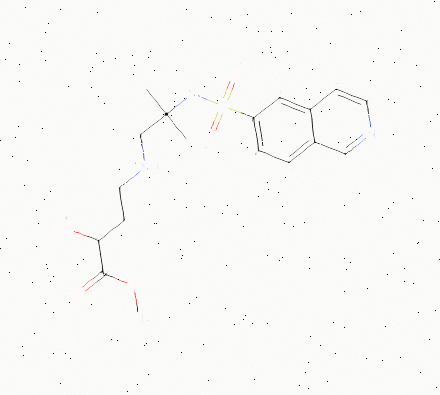 CC(C)(CNCCC(O)C(=O)OC(C)(C)C)NS(=O)(=O)c1ccc2cnccc2c1